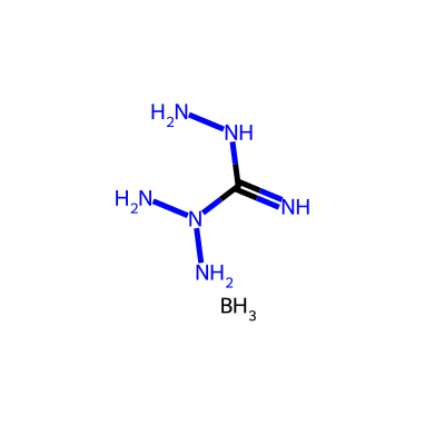 B.N=C(NN)N(N)N